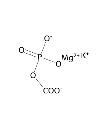 O=C([O-])OP(=O)([O-])[O-].[K+].[Mg+2]